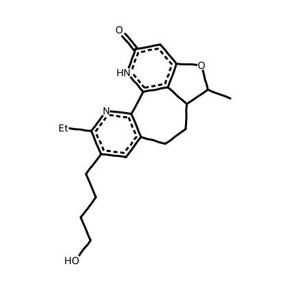 CCc1nc2c(cc1CCCCO)CCC1c3c(cc(=O)[nH]c3-2)OC1C